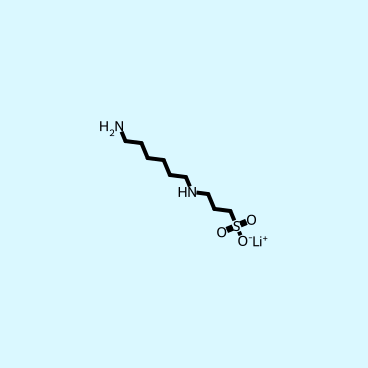 NCCCCCCNCCCS(=O)(=O)[O-].[Li+]